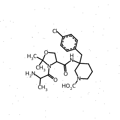 CC(N)C(=O)N1C(C(=O)NC2(Cc3ccc(Cl)cc3)CCCN(C(=O)O)C2)COC1(C)C